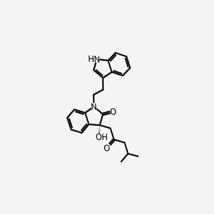 CC(C)CC(=O)C[C@]1(O)C(=O)N(CCc2c[nH]c3ccccc23)c2ccccc21